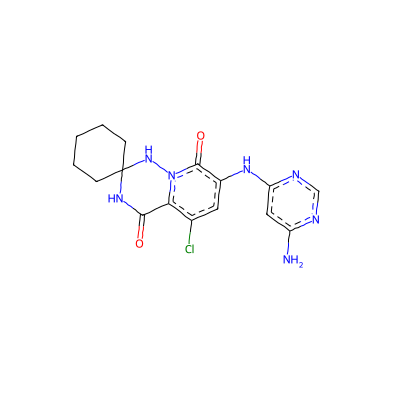 Nc1cc(Nc2cc(Cl)c3n(c2=O)NC2(CCCCC2)NC3=O)ncn1